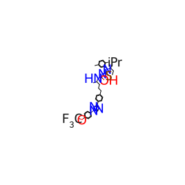 Cc1ccc(C(C)C)c(N2/C(=N/C(O)NC(C)CCCc3ccc(-c4ncn(-c5ccc(OC(F)(F)F)cc5)n4)cc3)SCCC2C)c1